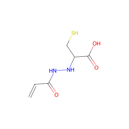 C=CC(=O)NNC(CS)C(=O)O